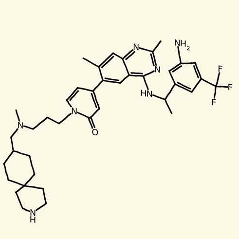 Cc1nc(NC(C)c2cc(N)cc(C(F)(F)F)c2)c2cc(-c3ccn(CCCN(C)CC4CCC5(CCNCC5)CC4)c(=O)c3)c(C)cc2n1